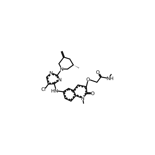 C=C1C[C@H](C)CN(c2ncc(Cl)c(Nc3ccc4c(c3)cc(OCC(=O)NC)c(=O)n4C)n2)C1